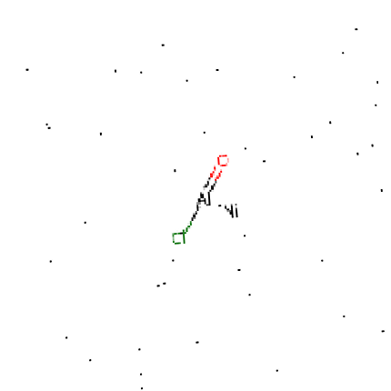 [Ni].[O]=[Al][Cl]